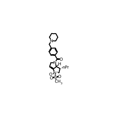 CCC[C@@H]1C[N+]([O-])(S(C)(=O)=O)C2=CCN(C(=O)c3ccc(CN4CCCCC4)cc3)[C@@H]21